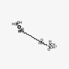 CN[C@@H](CCCCNC(=O)CCCCCCCCCCCCCCNS(=O)(=O)c1ccc(B(O)O)cc1)C(=O)O